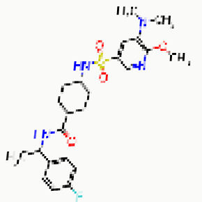 COc1ncc(S(=O)(=O)N[C@H]2CC[C@H](C(=O)N[C@H](C)c3ccc(F)cc3)CC2)cc1N(C)C